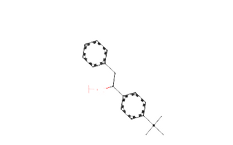 CC(C)(C)c1ccc(C(O)Cc2ccccc2)cc1